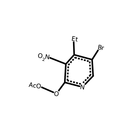 CCc1c(Br)cnc(OOC(C)=O)c1[N+](=O)[O-]